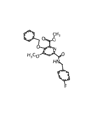 COC(=O)c1nc(C(=O)NCc2ccc(F)cc2)cc(OC)c1OCc1ccccc1